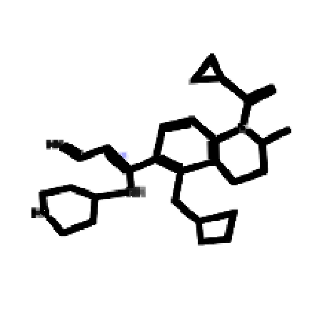 C=C(C1CC1)N1c2ccc(/C(=C/C=N)NC3CCNCC3)c(CC3CCC3)c2CCC1C